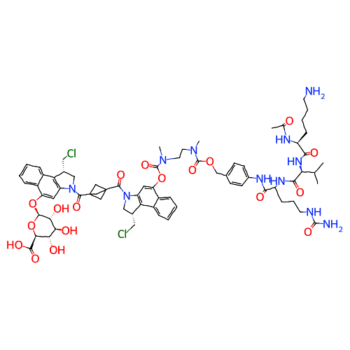 CC(=O)N[C@@H](CCCCN)C(=O)N[C@H](C(=O)NC(CCCNC(N)=O)C(=O)Nc1ccc(COC(=O)N(C)CCN(C)C(=O)Oc2cc3c(c4ccccc24)[C@H](CCl)CN3C(=O)C23CC(C(=O)N4C[C@@H](CCl)c5c4cc(O[C@@H]4O[C@H](C(=O)O)[C@@H](O)[C@H](O)[C@H]4O)c4ccccc54)(C2)C3)cc1)C(C)C